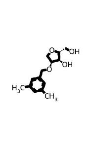 Cc1cc(C)cc(CO[C@H]2CO[C@H](CO)[C@H]2O)c1